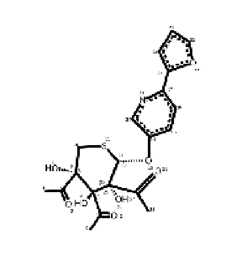 CC(=O)[C@]1(O)[C@@](O)(C(C)=O)CS[C@H](Oc2ccc(-c3ccco3)nc2)[C@@]1(O)C(C)=O